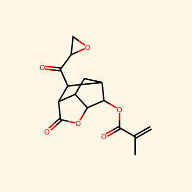 C=C(C)C(=O)OC1C2CC3C1OC(=O)C3C2C(=O)C1CO1